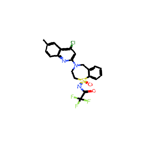 Cc1ccc2nc(N3CCS(=O)(=NC(=O)C(F)(F)F)c4ccccc4C3)cc(Cl)c2c1